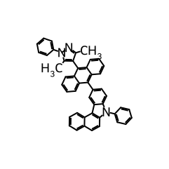 Cc1nn(-c2ccccc2)c(C)c1-c1c2ccccc2c(-c2ccc3c(c2)c2c4ccccc4ccc2n3-c2ccccc2)c2ccccc12